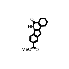 COC(=O)c1ccc2c(c1)Cc1c-2[nH]c(=O)c2c1CCCC2